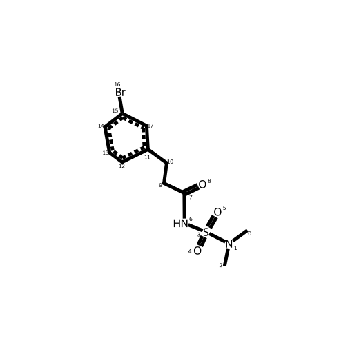 CN(C)S(=O)(=O)NC(=O)CCc1cccc(Br)c1